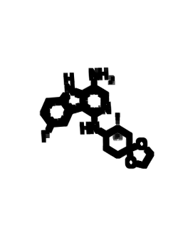 C[C@@H]1CC2(CCC1Nc1ncc(N)c3[nH]c4ccc(F)cc4c13)OCCO2